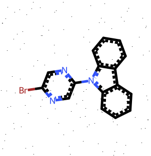 Brc1cnc(-n2c3ccccc3c3ccccc32)cn1